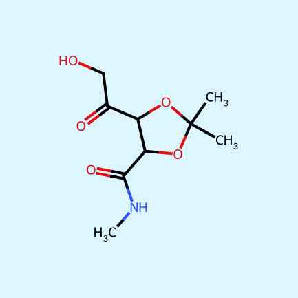 CNC(=O)C1OC(C)(C)OC1C(=O)CO